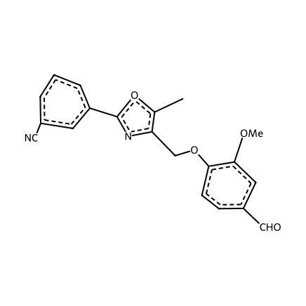 COc1cc(C=O)ccc1OCc1nc(-c2cccc(C#N)c2)oc1C